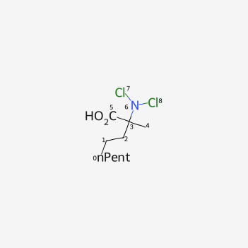 CCCCCCCC(C)(C(=O)O)N(Cl)Cl